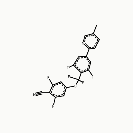 Cc1ccc(-c2cc(F)c(C(F)(F)Oc3cc(F)c(C#N)c(F)c3)c(F)c2)nc1